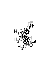 COc1nc(OCC(F)(F)F)ccc1C(=O)NC(C)c1cc(C)nc(NC(=O)C2CC2)n1